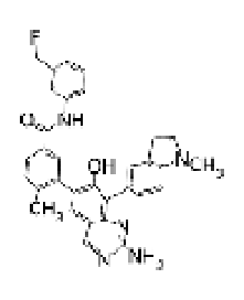 Cc1ccc(C(=O)Nc2cccc(CF)c2)cc1-c1cc2cnc(N)nc2c(-c2ccc3c(ccn3C)c2)c1O